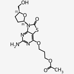 CC(=O)OCCCOc1nc(N)nc2c1sc(=O)n2[C@H]1CC[C@@H](CO)O1